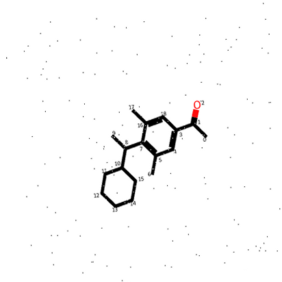 CC(=O)c1cc(C)c(C(C)C2CCCCC2)c(C)c1